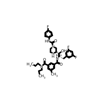 CCCN(CCC)C(=O)c1cc(C)cc(C(=O)N[C@@H](Cc2cc(F)cc(F)c2)C(O)[C@H]2CN(C(=O)Nc3ccc(F)cc3)CCN2)c1